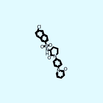 O=C1C(NS(=O)(=O)c2ccc3cc(Cl)ccc3c2)CCCN1c1ccc(-n2ccccc2=O)cc1